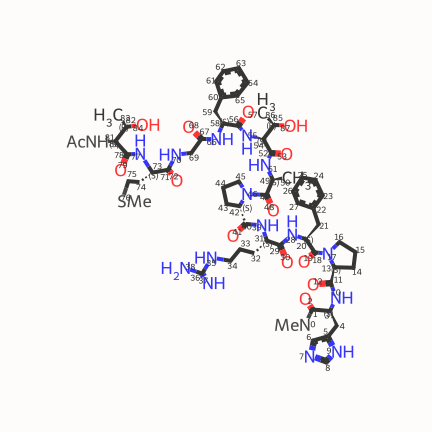 CNC(=O)[C@H](Cc1cnc[nH]1)NC(=O)[C@@H]1CCCN1C(=O)[C@H](Cc1ccccc1)NC(=O)[C@H](CCCNC(=N)N)NC(=O)[C@@H]1CCCN1C(=O)[C@H](C)NC(=O)[C@@H](NC(=O)[C@H](Cc1ccccc1)NC(=O)CNC(=O)[C@H](CCSC)NC(=O)[C@@H](NC(C)=O)[C@@H](C)O)[C@@H](C)O